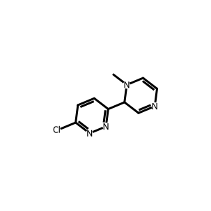 CN1C=CN=CC1c1ccc(Cl)nn1